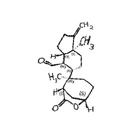 C=C1CC[C@H]2[C@H](C=O)[C@@H]([C@@]3(C)CC[C@H]4C[C@@H]3C(=O)O4)CC[C@]12C